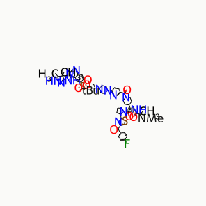 CNC(C)C(=O)N[C@H](C(=O)N1CCCC1c1nc(C(=O)c2ccc(F)cc2)cs1)C1CCN(C(=O)c2ccc(N3CCN(CCCOc4cc5ncnc(Nc6n[nH]c(C)c6C)c5cc4S(=O)(=O)C(C)(C)C)CC3)nc2)CC1